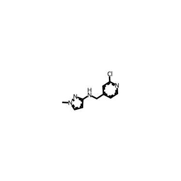 Cn1ccc(NCc2ccnc(Cl)c2)n1